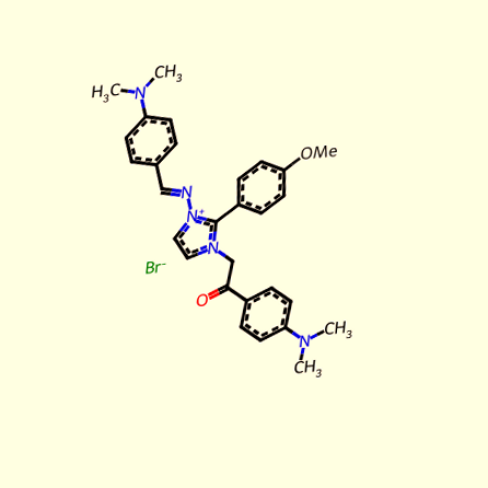 COc1ccc(-c2n(CC(=O)c3ccc(N(C)C)cc3)cc[n+]2N=Cc2ccc(N(C)C)cc2)cc1.[Br-]